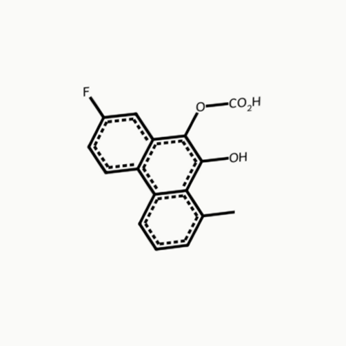 Cc1cccc2c1c(O)c(OC(=O)O)c1cc(F)ccc12